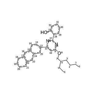 CCCCC(CC)COc1cc(-c2ccc3cc4ccccc4cc3c2)nc(-c2ccccc2O)n1